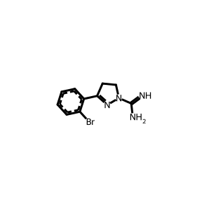 N=C(N)N1CCC(c2ccccc2Br)=N1